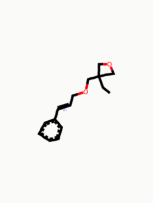 CCC1(COC/C=C/c2ccccc2)COC1